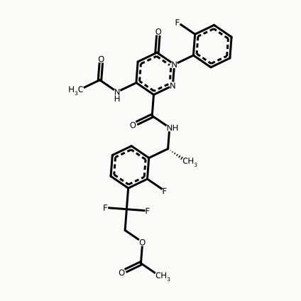 CC(=O)Nc1cc(=O)n(-c2ccccc2F)nc1C(=O)N[C@H](C)c1cccc(C(F)(F)COC(C)=O)c1F